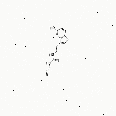 C=CCNC(=O)NCCc1csc2ccc(O)cc12